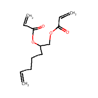 C=CCCCC(COC(=O)C=C)OC(=O)C=C